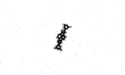 CC1=CC(C)CC(C2=CC3c4ccc5c6c4=C(CCC=6c4sc(C6=CC(C)=CC(C)C6)cc4-5)C3S2)=C1